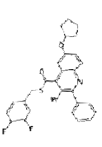 CC(C)c1c(-c2ccccc2)nc2ccc(OC3CCCC3)cc2c1C(=O)SCc1ccc(F)c(F)c1